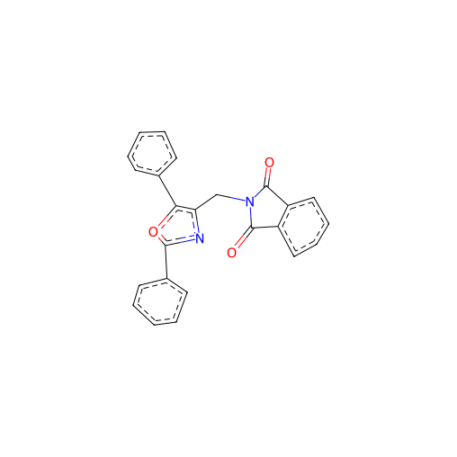 O=C1c2ccccc2C(=O)N1Cc1nc(-c2ccccc2)oc1-c1ccccc1